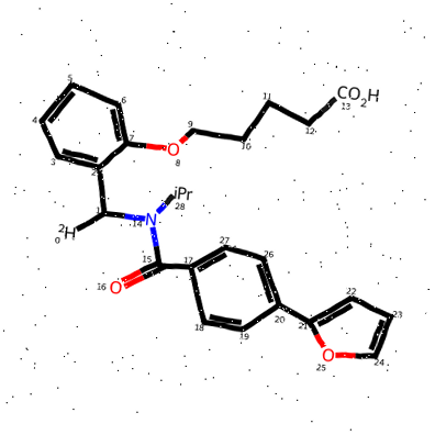 [2H]C(c1ccccc1OCCCCC(=O)O)N(C(=O)c1ccc(-c2ccco2)cc1)C(C)C